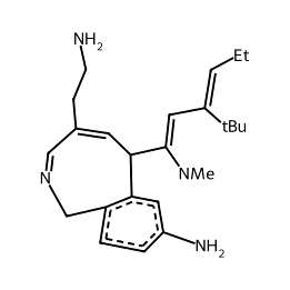 CC/C=C(/C=C(\NC)C1/C=C(CCN)\C=N/Cc2ccc(N)cc21)C(C)(C)C